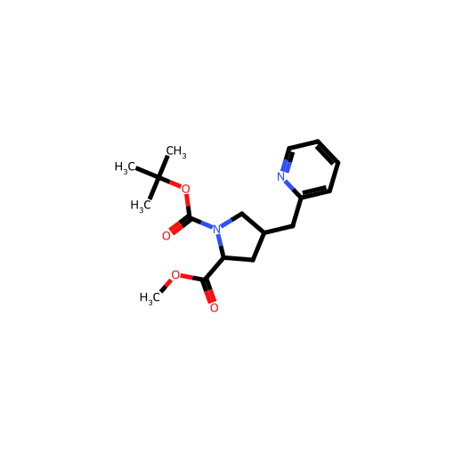 COC(=O)C1CC(Cc2ccccn2)CN1C(=O)OC(C)(C)C